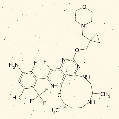 Cc1cc(N)c(F)c(-c2nc3c4c(nc(OCC5(CN6CCOCC6)CC5)nc4c2F)NCC(C)NCC[C@H](C)O3)c1C(F)(F)F